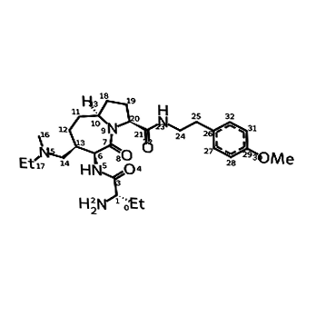 CC[C@H](N)C(=O)N[C@@H]1C(=O)N2[C@@H](CC[C@@H]1CN(C)CC)CC[C@H]2C(=O)NCCc1ccc(OC)cc1